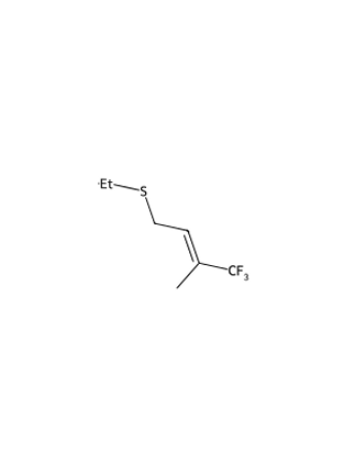 C[CH]SC/C=C(\C)C(F)(F)F